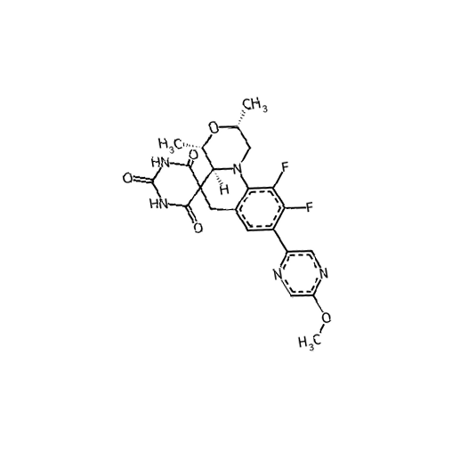 COc1cnc(-c2cc3c(c(F)c2F)N2C[C@@H](C)O[C@@H](C)[C@@H]2C2(C3)C(=O)NC(=O)NC2=O)cn1